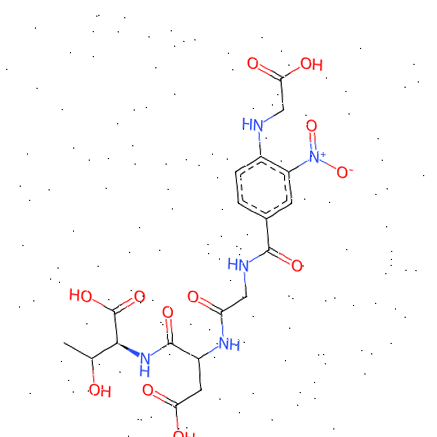 CC(O)[C@H](NC(=O)C(CC(=O)O)NC(=O)CNC(=O)c1ccc(NCC(=O)O)c([N+](=O)[O-])c1)C(=O)O